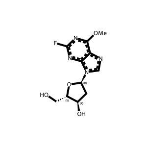 COc1nc(F)nc2c1ncn2[C@H]1C[C@@H](O)[C@H](CO)O1